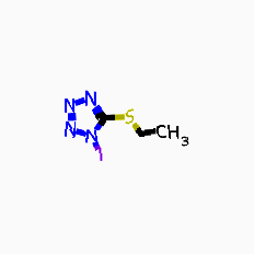 CCSc1nnnn1I